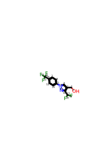 OCc1cn(-c2ccc(C(F)(F)F)cc2)nc1C(F)F